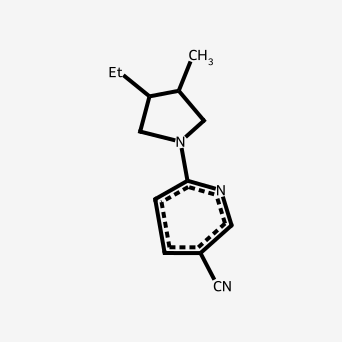 CCC1CN(c2ccc(C#N)cn2)CC1C